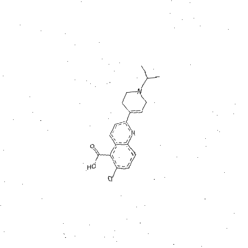 CC(C)N1CC=C(c2ccc3c(C(=O)O)c(Cl)ccc3n2)CC1